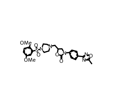 COc1ccc(OC)c(S(=O)(=O)N2CCN(CC3CN(c4ccc(-c5noc(C)n5)cc4)C(=O)O3)CC2)c1